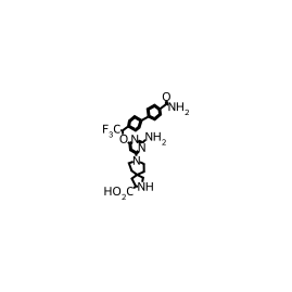 NC(=O)c1ccc(-c2ccc([C@@H](Oc3cc(N4CCC5(CC4)CNC(C(=O)O)C5)nc(N)n3)C(F)(F)F)cc2)cc1